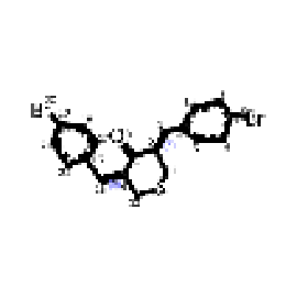 O=C1/C(=C/c2ccc(Br)cc2)CSC/C1=C/c1ccc(Br)cc1